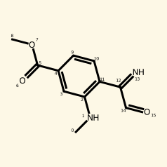 CNc1cc(C(=O)OC)ccc1C(=N)C=O